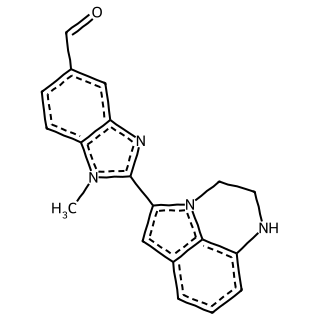 Cn1c(-c2cc3cccc4c3n2CCN4)nc2cc(C=O)ccc21